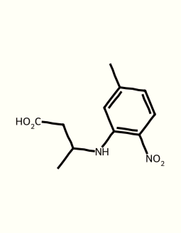 Cc1ccc([N+](=O)[O-])c(NC(C)CC(=O)O)c1